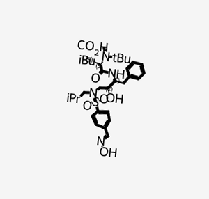 CC[C@H](C)[C@@H](C(=O)N[C@@H](Cc1ccccc1)[C@H](O)CN(CC(C)C)S(=O)(=O)c1ccc(C=NO)cc1)N(C(=O)O)C(C)(C)C